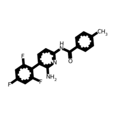 Cc1ccc(C(=O)Nc2ccc(-c3c(F)cc(F)cc3F)c(N)n2)cc1